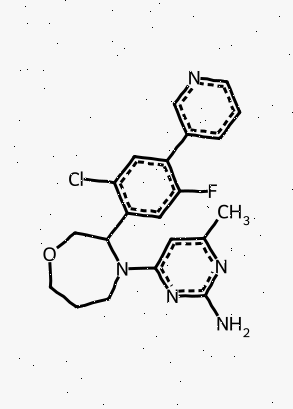 Cc1cc(N2CCCOCC2c2cc(F)c(-c3cccnc3)cc2Cl)nc(N)n1